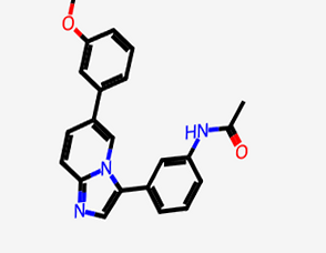 COc1cccc(-c2ccc3ncc(-c4cccc(NC(C)=O)c4)n3c2)c1